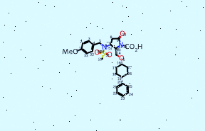 COc1ccc(CN([C@H]2CC(=O)N(C(=O)O)[C@H]2CO[C@H]2CC[C@@H](c3ccccc3)CC2)S(C)(=O)=O)cc1